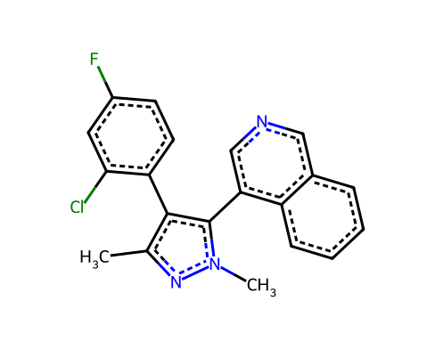 Cc1nn(C)c(-c2cncc3ccccc23)c1-c1ccc(F)cc1Cl